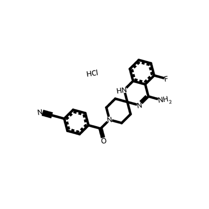 Cl.N#Cc1ccc(C(=O)N2CCC3(CC2)N=C(N)c2c(F)cccc2N3)cc1